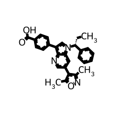 CC[C@H](c1ccccc1)n1cc(-c2ccc(C(=O)O)cc2)c2ncc(-c3c(C)noc3C)cc21